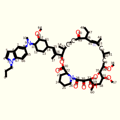 CCCn1ccc2cc(N(C)C3CCC(C=C(C)C4OC(=O)C5CCCCN5C(=O)C(=O)C5(O)OC(C(OC)CC(C)C/C(C)=C/C(CC)C(=O)CCC4C)C(OC)CC5C)CC3OC)ccc21